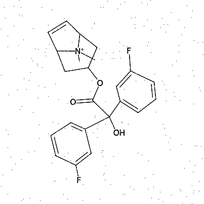 C[N+]1(C)C2C=CC1CC(OC(=O)C(O)(c1cccc(F)c1)c1cccc(F)c1)C2